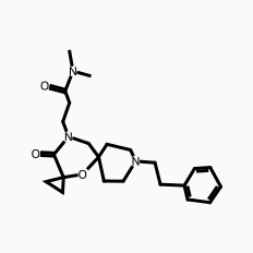 CN(C)C(=O)CCN1CC2(CCN(CCc3ccccc3)CC2)OC2(CC2)C1=O